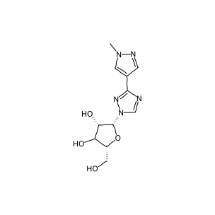 Cn1cc(-c2ncn([C@@H]3O[C@H](CO)C(O)[C@@H]3O)n2)cn1